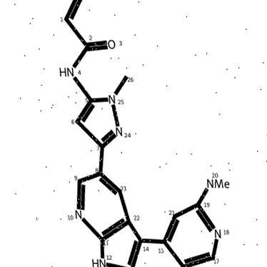 C=CC(=O)Nc1cc(-c2cnc3[nH]cc(-c4ccnc(NC)c4)c3c2)nn1C